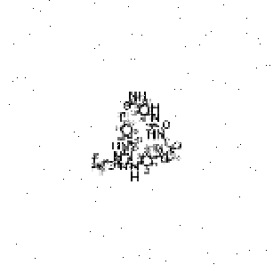 COC(=O)[C@H](CNC(=O)C(=O)Nc1ccc(C(N)=O)cc1)NC(=O)c1ccc(Nc2nc(NC3(c4ccc(Cl)cc4)CC3)nc(OCC(F)(F)F)n2)cc1